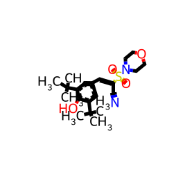 CC(C)(C)c1cc(/C=C(\C#N)S(=O)(=O)N2CCOCC2)cc(C(C)(C)C)c1O